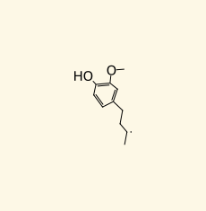 C[CH]CCc1ccc(O)c(OC)c1